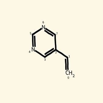 C=Cc1cn[c]nc1